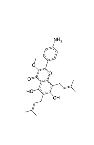 COc1c(-c2ccc(N)cc2)oc2c(CC=C(C)C)c(O)c(CC=C(C)C)c(O)c2c1=O